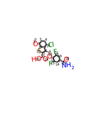 COc1ccc(Cl)c2c(COc3c(F)cc(C(N)=O)cc3F)c(C(=O)O)sc12